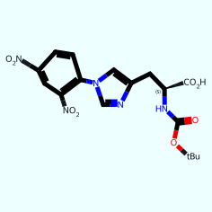 CC(C)(C)OC(=O)N[C@@H](Cc1cn(-c2ccc([N+](=O)[O-])cc2[N+](=O)[O-])cn1)C(=O)O